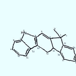 CC1(C)C2=Cc3[nH]c4ccccc4c3CC2c2ccccc21